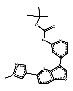 Cn1cc(-c2ccc3scc(-c4ccnc(NC(=O)OC(C)(C)C)c4)c3n2)cn1